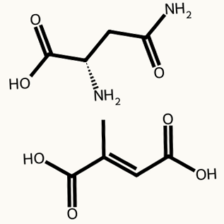 C/C(=C\C(=O)O)C(=O)O.NC(=O)C[C@H](N)C(=O)O